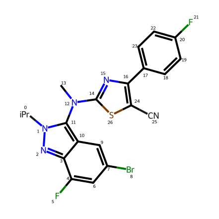 CC(C)n1nc2c(F)cc(Br)cc2c1N(C)c1nc(-c2ccc(F)cc2)c(C#N)s1